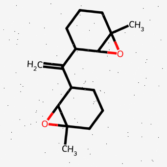 C=C(C1CCCC2(C)OC12)C1CCCC2(C)OC12